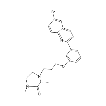 C[C@@H]1C(=O)N(C)CCN1CCCOc1cccc(-c2ccc3cc(Br)ccc3n2)c1